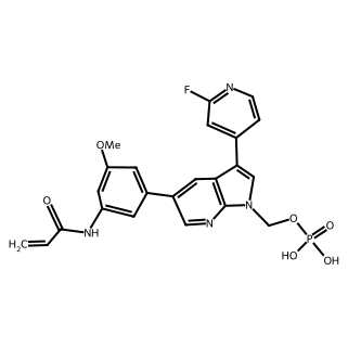 C=CC(=O)Nc1cc(OC)cc(-c2cnc3c(c2)c(-c2ccnc(F)c2)cn3COP(=O)(O)O)c1